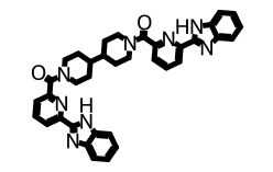 O=C(c1cccc(-c2nc3ccccc3[nH]2)n1)N1CCC(C2CCN(C(=O)c3cccc(-c4nc5ccccc5[nH]4)n3)CC2)CC1